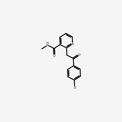 CNC(=O)c1cccnc1CC(=O)c1ccc(Cl)cc1